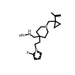 C=C(C)C1(CN2CCC(CCn3cccc3F)(CNCCC)CC2)CC1